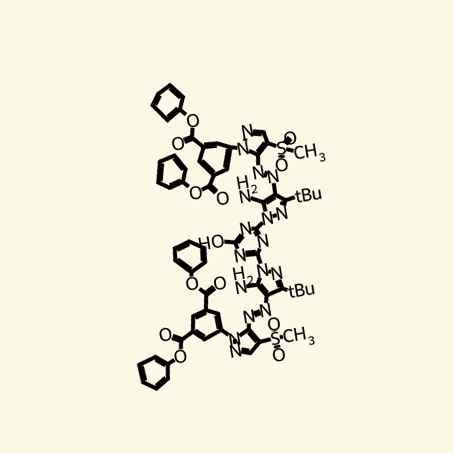 CC(C)(C)c1nn(-c2nc(O)nc(-n3nc(C(C)(C)C)c(N=Nc4c(S(C)(=O)=O)cnn4-c4cc(C(=O)Oc5ccccc5)cc(C(=O)Oc5ccccc5)c4)c3N)n2)c(N)c1N=Nc1c(S(C)(=O)=O)cnn1-c1cc(C(=O)Oc2ccccc2)cc(C(=O)Oc2ccccc2)c1